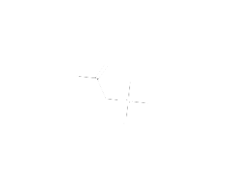 C[15N+](C)(C)CC(=O)[O-]